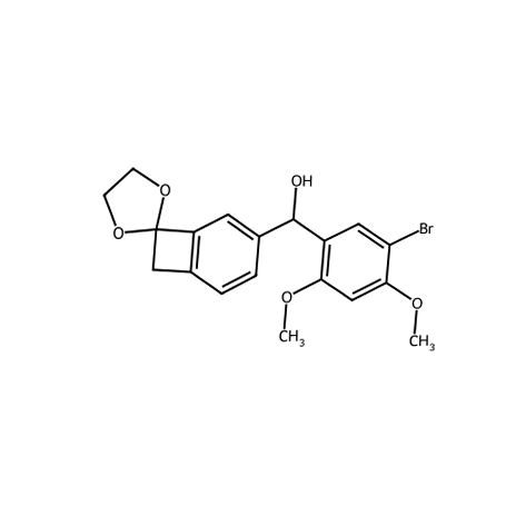 COc1cc(OC)c(C(O)c2ccc3c(c2)C2(C3)OCCO2)cc1Br